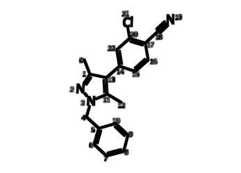 Cc1nn(Cc2ccccc2)c(C)c1-c1ccc(C#N)c(Cl)c1